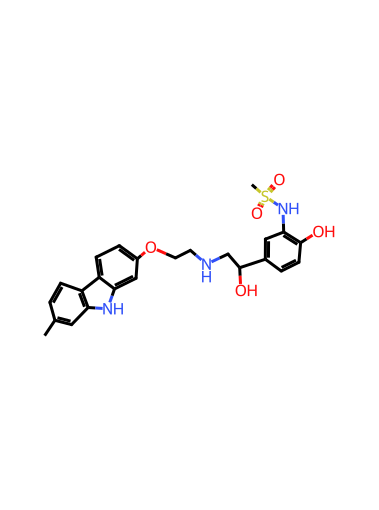 Cc1ccc2c(c1)[nH]c1cc(OCCNCC(O)c3ccc(O)c(NS(C)(=O)=O)c3)ccc12